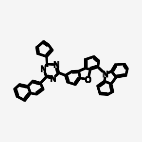 c1ccc(-c2nc(-c3ccc4ccccc4c3)nc(-c3ccc4oc5c(-n6c7ccccc7c7ccccc76)cccc5c4c3)n2)cc1